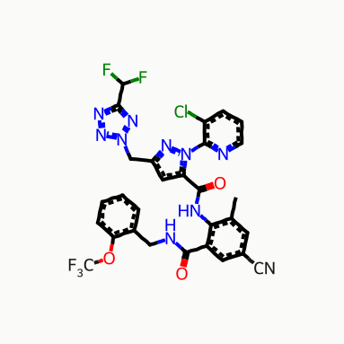 Cc1cc(C#N)cc(C(=O)NCc2ccccc2OC(F)(F)F)c1NC(=O)c1cc(Cn2nnc(C(F)F)n2)nn1-c1ncccc1Cl